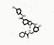 CC1(C(=O)NCc2ccc(Cl)c(Nc3nc4cc(C(=O)Nc5ccc(Br)cc5)ccc4[nH]3)c2)CCCCC1